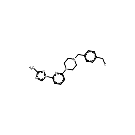 Cc1ncn(-c2cccc(N3CCN(Cc4ccc(CCl)cc4)CC3)n2)n1